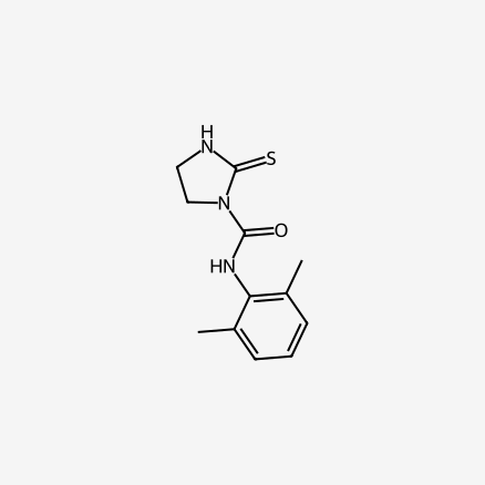 Cc1cccc(C)c1NC(=O)N1CCNC1=S